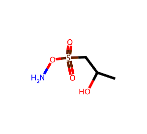 CC(O)CS(=O)(=O)ON